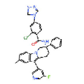 Cc1ccc2c(c1)c(-c1cncc(F)c1)c1n2C[C@@](NC(=O)c2ccc(-n3cnnc3)cc2Cl)(c2ccccc2)CC1